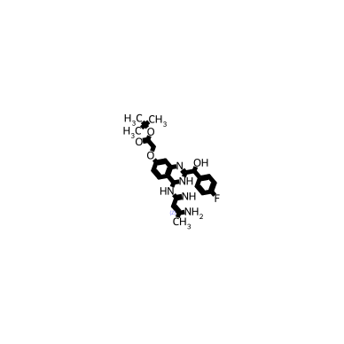 C/C(N)=C/C(=N)NC1NC(C(O)c2ccc(F)cc2)=Nc2cc(OCC(=O)OC(C)(C)C)ccc21